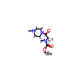 C[C@@H](C(=O)N1CCN(C)CC1)N(C)C(=O)OC(C)(C)C